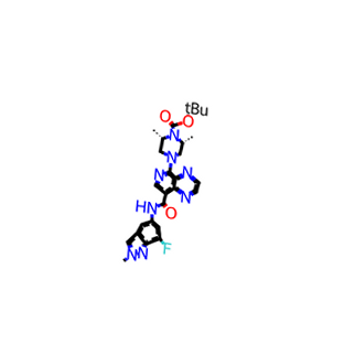 C[C@@H]1CN(c2ncc(C(=O)Nc3cc(F)c4nn(C)cc4c3)c3nccnc23)C[C@H](C)N1C(=O)OC(C)(C)C